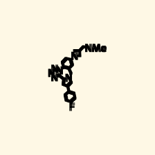 CNCC1CN(c2ccc3c(c2)Cn2cc(-c4ccc(F)cc4)cc2-c2nnnn2-3)C1